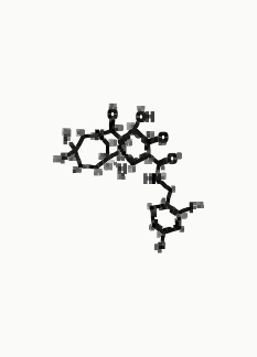 O=C(NCc1ccc(F)cc1F)c1cn2c(c(O)c1=O)C(=O)N1C[C@@H]2CCC(F)(F)C1